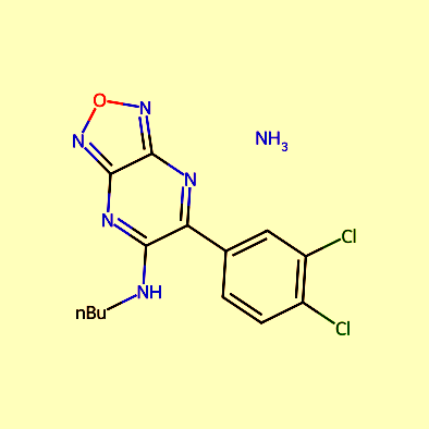 CCCCNc1nc2nonc2nc1-c1ccc(Cl)c(Cl)c1.N